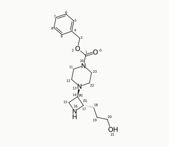 O=C(OCc1ccccc1)N1CCN([C@@H]2CN[C@H]2CCCO)CC1